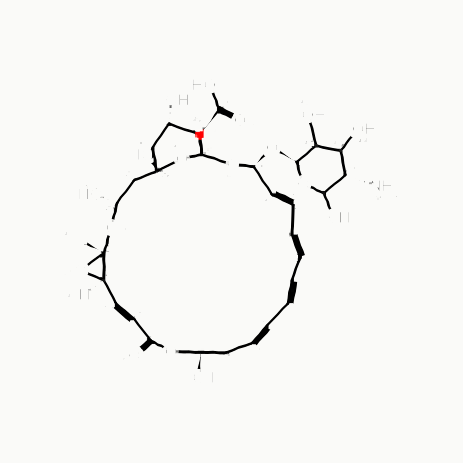 CC1O[C@@H](O[C@H]2/C=C/C=C/C=C/C=C\C[C@@H](C)OC(=O)/C=C/[C@H]3O[C@@H]3C[C@H](O)C[C@]3(O)C[C@H](O)[C@@H](C(=O)O)[C@H](C2)O3)C(O)C(O)[C@@H]1N